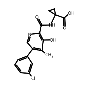 Cc1c(-c2cccc(Cl)c2)cnc(C(=O)NC2(C(=O)O)CC2)c1O